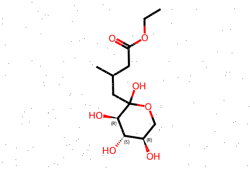 CCOC(=O)CC(C)CC1(O)OC[C@@H](O)[C@H](O)[C@H]1O